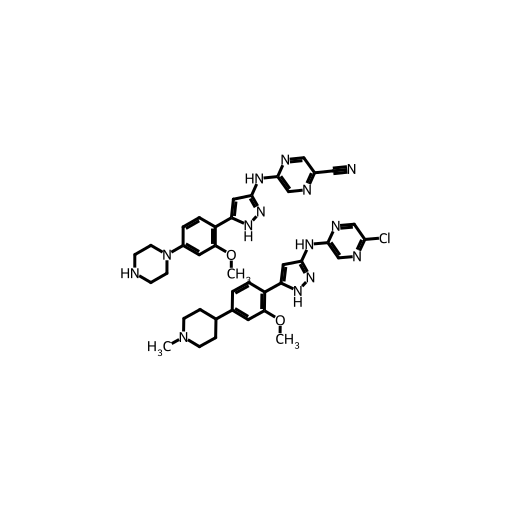 COc1cc(C2CCN(C)CC2)ccc1-c1cc(Nc2cnc(Cl)cn2)n[nH]1.COc1cc(N2CCNCC2)ccc1-c1cc(Nc2cnc(C#N)cn2)n[nH]1